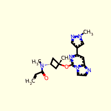 C=CC(=O)N(C)[C@H]1C[C@@](C)(Oc2nc(-c3cnn(C)c3)cc3nccn23)C1